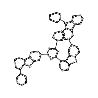 c1ccc(-c2nc(-c3ccc4c(c3)oc3c(-c5ccccc5)cccc34)nc(-c3cccc4sc5ccc(-c6ccc7c(c6)c6ccccc6n7-c6ccccc6)cc5c34)n2)cc1